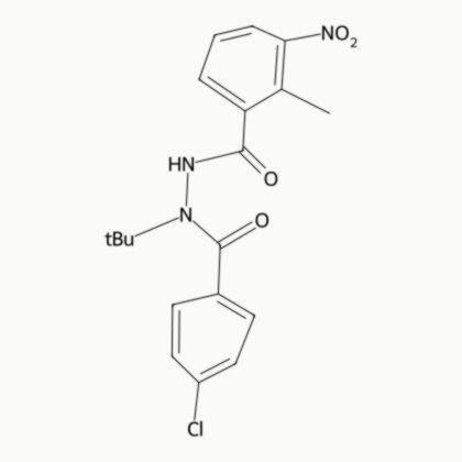 Cc1c(C(=O)NN(C(=O)c2ccc(Cl)cc2)C(C)(C)C)cccc1[N+](=O)[O-]